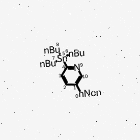 CCCCCCCCCc1cc[c]([Sn]([CH2]CCC)([CH2]CCC)[CH2]CCC)nc1